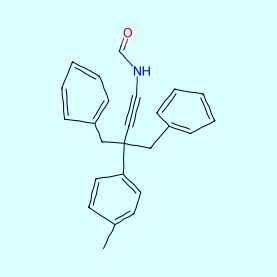 Cc1ccc(C(C#CNC=O)(Cc2ccccc2)Cc2ccccc2)cc1